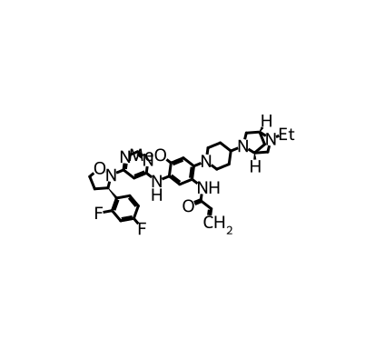 C=CC(=O)Nc1cc(Nc2cc(N3OCC[C@@H]3c3ccc(F)cc3F)ncn2)c(OC)cc1N1CCC(N2C[C@H]3C[C@@H]2CN3CC)CC1